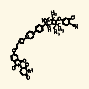 CC1(C)[C@H](NC(=O)c2ccc(N3CCN(C4CN(CCOc5ccc6c(c5)C(=O)N(C5CCC(=O)NC5=O)C6=O)C4)CC3)cc2)C(C)(C)[C@H]1Oc1ccc(C#N)c(Cl)c1